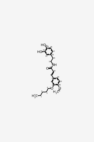 CCCCCOc1cc(C=CC(=O)NCCc2ccc(O)c(O)c2)ccc1OC